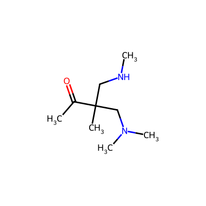 CNCC(C)(CN(C)C)C(C)=O